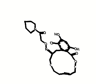 O=C1OCC/C=C/CCCC/C(=N/OCC(=O)N2CCCCC2)Cc2c(Cl)c(O)cc(O)c21